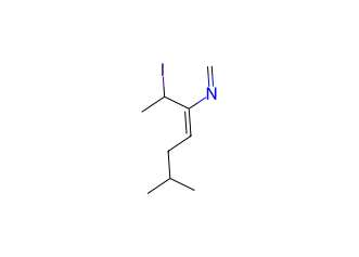 C=NC(=CCC(C)C)C(C)I